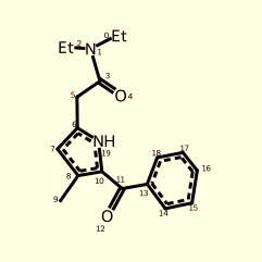 CCN(CC)C(=O)Cc1cc(C)c(C(=O)c2ccccc2)[nH]1